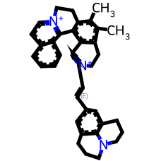 Cc1c(C)c2c(c3c1CC[n+]1ccc4ccccc4c1-3)-c1cccc(/C=C/c3cc4c5c(c3)CCCN5CCC4)[n+]1CC2